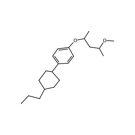 CCCC1CCC(c2ccc(OC(C)CC(C)OC)cc2)CC1